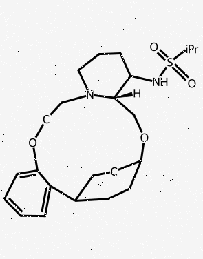 CC(C)S(=O)(=O)NC1CCCN2CCOc3ccccc3C3CCC(CC3)OC[C@@H]12